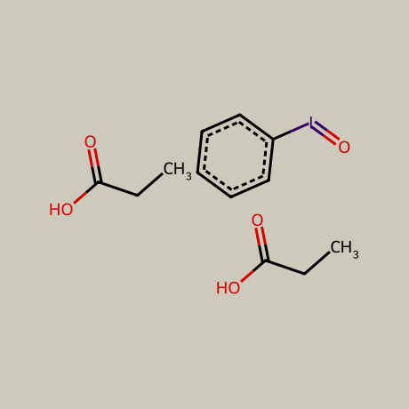 CCC(=O)O.CCC(=O)O.O=Ic1ccccc1